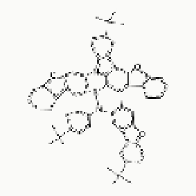 CC(C)(C)c1ccc(N2B3c4cc5c(cc4-n4c6ccc(C(C)(C)C)cc6c6c7oc8ccccc8c7c(c3c64)-c3cc4oc6ccc(C(C)(C)C)cc6c4cc32)oc2ccccc25)cc1